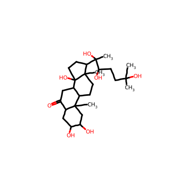 CC(C)(O)CCC(O)C(C)(O)C1CCC2(O)C3CC(=O)C4CC(O)C(O)CC4(C)C3CCC12C